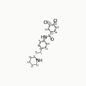 O=C(Nc1ccc(CC[C@H]2CCCCN2)cc1)c1ccc(Cl)c(Cl)c1